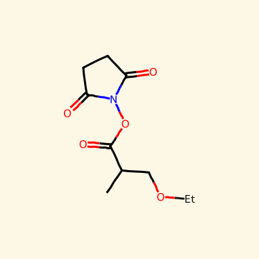 CCOCC(C)C(=O)ON1C(=O)CCC1=O